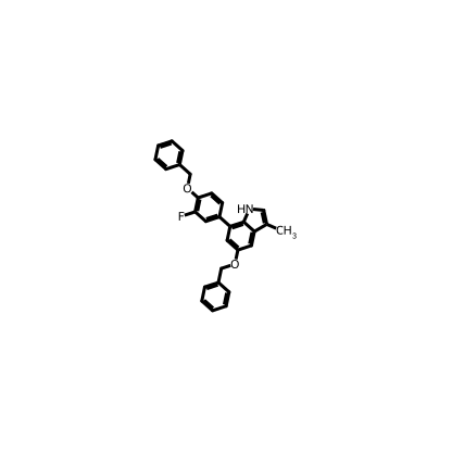 Cc1c[nH]c2c(-c3ccc(OCc4ccccc4)c(F)c3)cc(OCc3ccccc3)cc12